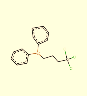 Cl[Si](Cl)(Cl)CCC[S+](c1ccccc1)c1ccccc1